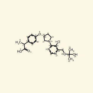 CC(C(=O)O)c1ccc(O[C@@H]2CCN(c3ncnc(COC(C)(C)O)c3Cl)C2)cc1